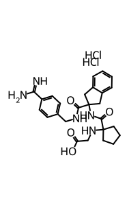 Cl.Cl.N=C(N)c1ccc(CNC(=O)C2(NC(=O)C3(NCC(=O)O)CCCC3)Cc3ccccc3C2)cc1